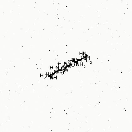 N=C(N)NCCCC(N)C(=O)OC(=O)CC(N)C(=O)OC(=O)C(N)CCCNC(=N)N